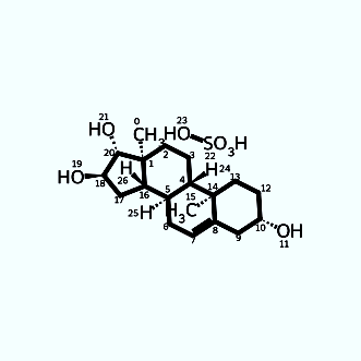 C[C@]12CC[C@H]3[C@@H](CC=C4C[C@@H](O)CC[C@@]43C)[C@@H]1C[C@@H](O)[C@@H]2O.O=S(=O)(O)O